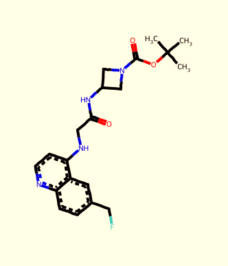 CC(C)(C)OC(=O)N1CC(NC(=O)CNc2ccnc3ccc(CF)cc23)C1